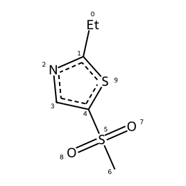 CCc1ncc(S(C)(=O)=O)s1